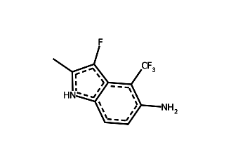 Cc1[nH]c2ccc(N)c(C(F)(F)F)c2c1F